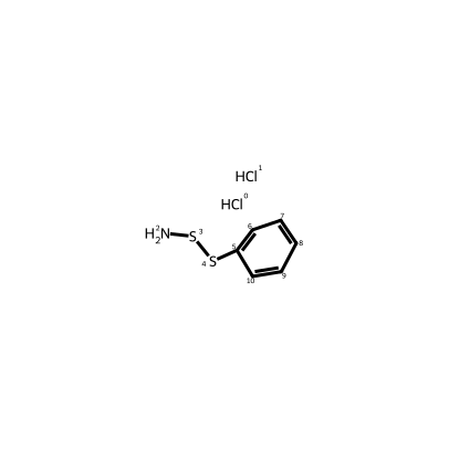 Cl.Cl.NSSc1ccccc1